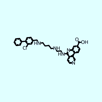 O=C(O)c1ccc2c(c1)nc(NCCNCCCCNCc1ccc(-c3ccccc3)c(Cl)c1)c1ccncc12